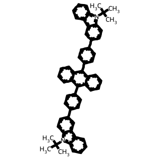 CC(C)(C)n1c2ccccc2c2cc(-c3ccc(-c4c5ccccc5c(-c5ccc(-c6ccc7c(c6)c6ccccc6n7C(C)(C)C)cc5)c5ccccc45)cc3)ccc21